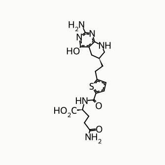 NC(=O)CC[C@H](NC(=O)c1ccc(CC[C@@H]2CNc3nc(N)nc(O)c3C2)s1)C(=O)O